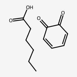 CCCCCC(=O)O.O=C1C=CC=CC1=O